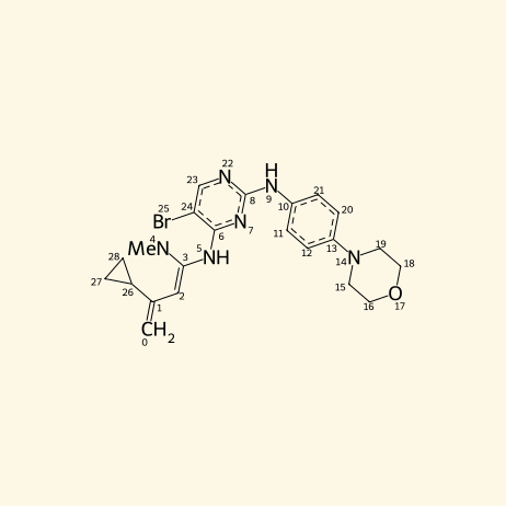 C=C(/C=C(\NC)Nc1nc(Nc2ccc(N3CCOCC3)cc2)ncc1Br)C1CC1